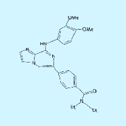 CCN(CC)C(=O)c1ccc(-c2cn3ccnc3c(Nc3ccc(OC)c(OC)c3)n2)cc1